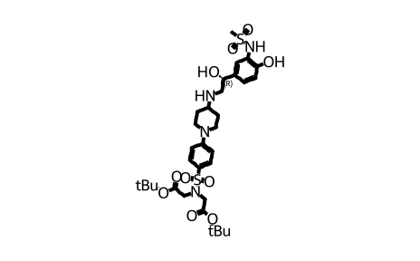 CC(C)(C)OC(=O)CN(CC(=O)OC(C)(C)C)S(=O)(=O)c1ccc(N2CCC(NC[C@H](O)c3ccc(O)c(NS(C)(=O)=O)c3)CC2)cc1